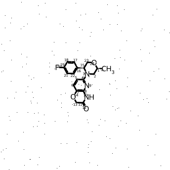 C[C@H]1CN(c2ccc3c(n2)NC(=O)CO3)[C@@H](c2ccc(F)cc2)CO1